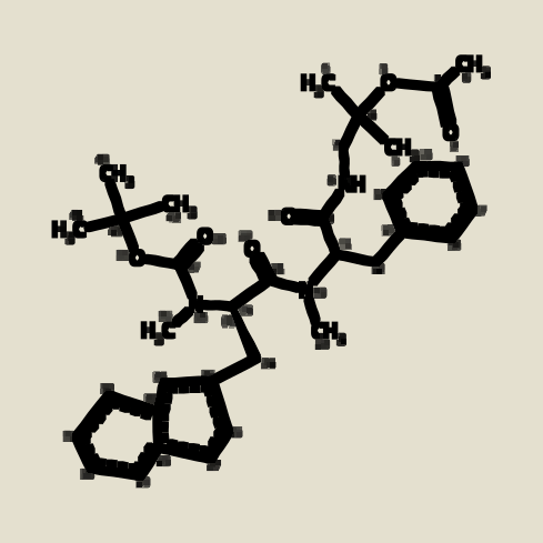 CC(=O)OC(C)(C)CNC(=O)C(Cc1ccccc1)N(C)C(=O)[C@@H](Cc1ccc2ccccc2c1)N(C)C(=O)OC(C)(C)C